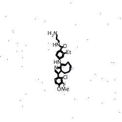 CCc1cc(N/C2=C\C/C=C\CCC3C(c4ccc(OC)c(F)c4Cl)=CN=C23)ccc1C(=O)NCCCN